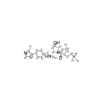 C=C(NCc1ccc(-c2scnc2C)cc1)[C@@H]1C[C@@H](O)CN1C(=O)[C@@H](CCC(C)(C)C)C(C)(C)C